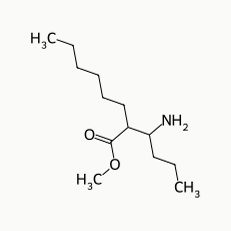 CCCCCCC(C(=O)OC)C(N)CCC